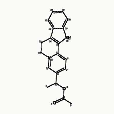 CC(=O)OC(C)c1ccc2[n+](c1)CCc1c-2[nH]c2ccccc12